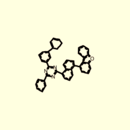 C1=CCCC(c2cccc(-c3nc(-c4ccccc4)nc(-c4cccc5c(-c6cccc7oc8ccccc8c67)cccc45)n3)c2)=C1